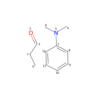 CCC=O.CN(C)c1ccccc1